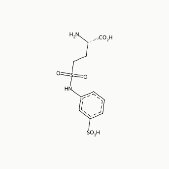 N[C@@H](CCS(=O)(=O)Nc1cccc(S(=O)(=O)O)c1)C(=O)O